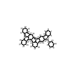 c1ccc(-n2c3ccccc3c3cc4c(cc32)c2cccc3c5c6c7ccccc7n7c8ccccc8c(cc5n4c23)c67)cc1